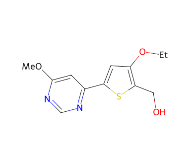 CCOc1cc(-c2cc(OC)ncn2)sc1CO